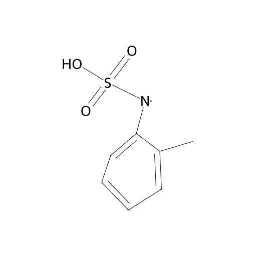 Cc1ccccc1[N]S(=O)(=O)O